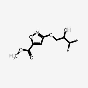 COC(=O)c1cc(OCC(O)C(F)F)no1